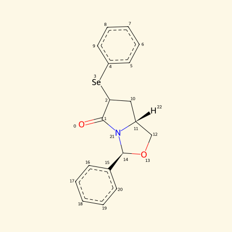 O=C1C([Se]c2ccccc2)C[C@@H]2CO[C@@H](c3ccccc3)N12